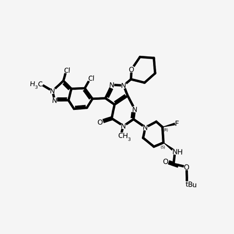 Cn1nc2ccc(-c3nn(C4CCCCO4)c4nc(N5CC[C@H](NC(=O)OC(C)(C)C)[C@H](F)C5)n(C)c(=O)c34)c(Cl)c2c1Cl